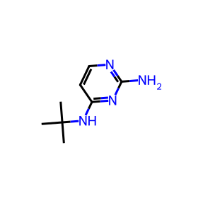 CC(C)(C)Nc1ccnc(N)n1